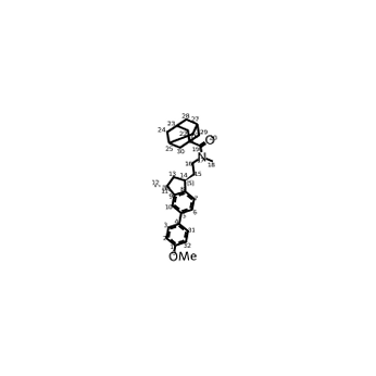 COc1ccc(-c2ccc3c(c2)[C@H](C)C[C@H]3CCN(C)C(=O)C23CC4CC(CC(C4)C2)C3)cc1